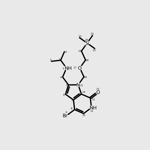 CC(C)NCc1cc2c(Br)c[nH]c(=O)c2n1COCC[Si](C)(C)C